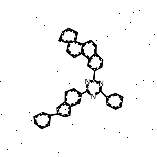 c1ccc(-c2ccc3cc(-c4nc(-c5ccccc5)nc(-c5ccc6ccc7c8ccccc8ccc7c6c5)n4)ccc3c2)cc1